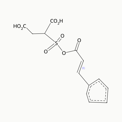 O=C(O)CC(C(=O)O)S(=O)(=O)OC(=O)/C=C/c1ccccc1